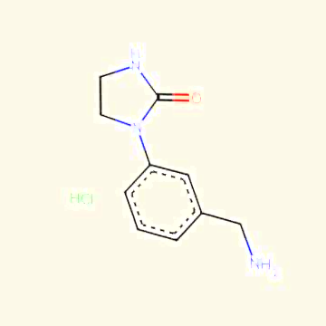 Cl.NCc1cccc(N2CCNC2=O)c1